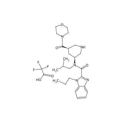 CCCn1c(C(=O)N(CC(C)C)[C@@H]2CNC[C@H](C(=O)N3CCOCC3)C2)nc2ccccc21.O=C(O)C(F)(F)F